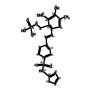 Cc1nc(N=Nc2ccc(S(=O)(=O)Nc3nccs3)cc2)c(COP(=O)(O)O)c(C=O)c1O